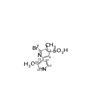 Cc1c(S(=O)(=O)O)ccnc1Br.Cc1cccnc1